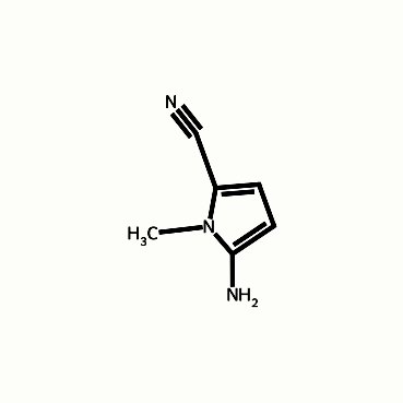 Cn1c(N)ccc1C#N